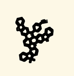 CC(C)(C)c1ccc(N2B3c4cc5c(cc4-n4c6ccc7c(c6c6ccc(c3c64)-c3cc4oc6ccccc6c4cc32)-c2ccccc2C7(C)C)sc2ccccc25)cc1